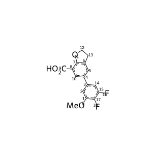 COc1cc(-c2cc3c(c(C(=O)O)c2)OCC3)cc(F)c1F